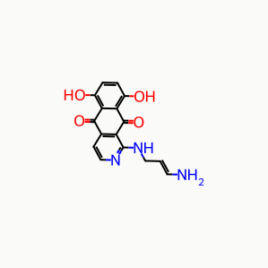 NC=CCNc1nccc2c1C(=O)c1c(O)ccc(O)c1C2=O